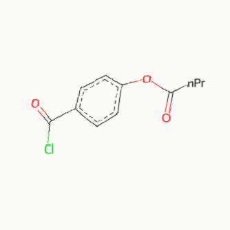 CCCC(=O)Oc1ccc(C(=O)Cl)cc1